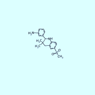 CC1(C)Cc2cc(S(C)(=O)=O)ccc2NC1c1cccc(N)c1